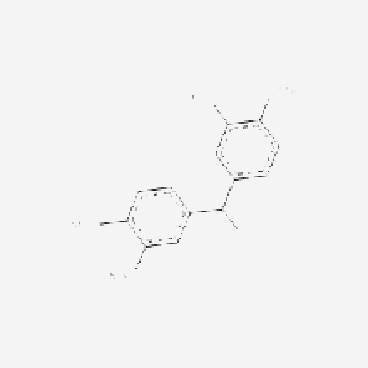 CCC(c1ccc(OC)c(OC)c1)c1ccc(OC)c(OC)c1